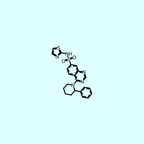 O=S(=O)(Nc1nccs1)c1ccc2c(N3CCCCC3c3ccccc3)ncnc2c1